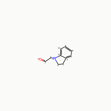 O=C[CH]N1CCc2ccccc21